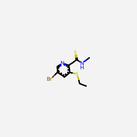 CCSc1cc(Br)cnc1C(=S)NC